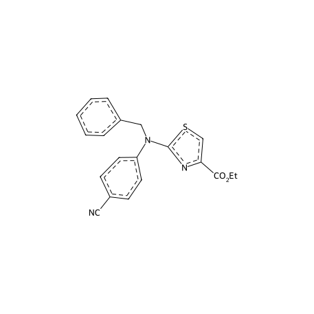 CCOC(=O)c1csc(N(Cc2ccccc2)c2ccc(C#N)cc2)n1